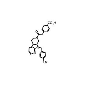 N#Cc1ccc(Cn2c3c(c4cccnc42)CCN(C(=O)Cc2ccc(C(=O)O)cc2)C3)cc1